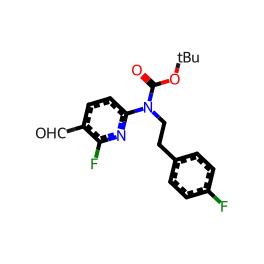 CC(C)(C)OC(=O)N(CCc1ccc(F)cc1)c1ccc(C=O)c(F)n1